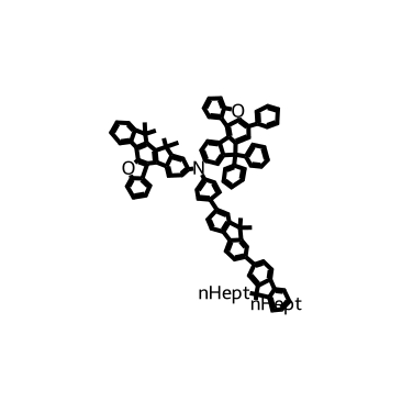 CCCCCCCC1(CCCCCCC)c2ccccc2-c2ccc(-c3ccc4c(c3)C(C)(C)c3cc(-c5ccc(N(c6ccc7c(c6)C(C)(C)c6c8c(c9oc%10ccccc%10c9c6-7)-c6ccccc6C8(C)C)c6ccc7c(c6)C(c6ccccc6)(c6ccccc6)c6cc(-c8ccccc8)c8oc9ccccc9c8c6-7)cc5)ccc3-4)cc21